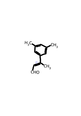 C/C(=C\C=O)c1cc(C)cc(C)c1